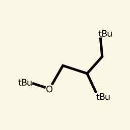 CC(C)(C)CC(COC(C)(C)C)C(C)(C)C